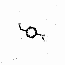 OBc1ccc(CBr)cc1